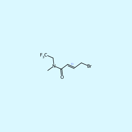 CN(CC(F)(F)F)C(=O)/C=C/CBr